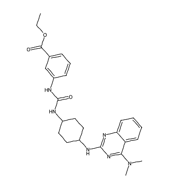 CCOC(=O)c1cccc(NC(=O)NC2CCC(Nc3nc(N(C)C)c4ccccc4n3)CC2)c1